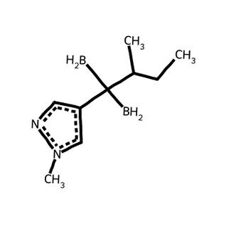 BC(B)(c1cnn(C)c1)C(C)CC